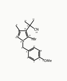 COc1ccc(Cn2nc(C)c(C(C)(C)C#N)c2Br)cc1